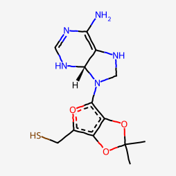 CC1(C)Oc2c(CS)oc(N3CNC4=C(N)N=CN[C@H]43)c2O1